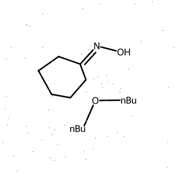 CCCCOCCCC.ON=C1CCCCC1